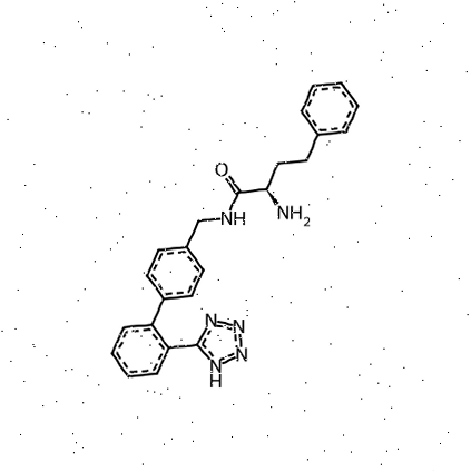 N[C@H](CCc1ccccc1)C(=O)NCc1ccc(-c2ccccc2-c2nnn[nH]2)cc1